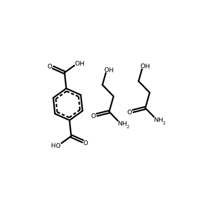 NC(=O)CCO.NC(=O)CCO.O=C(O)c1ccc(C(=O)O)cc1